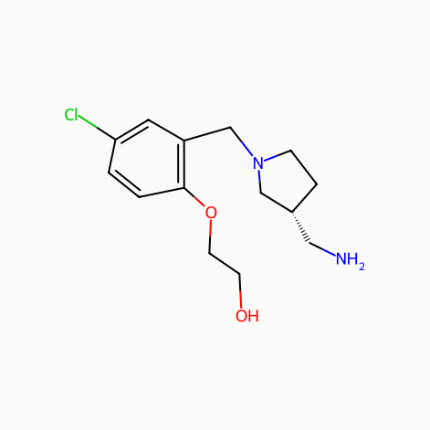 NC[C@H]1CCN(Cc2cc(Cl)ccc2OCCO)C1